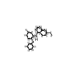 CCc1ccc2c(Nc3cc(C)ccc3Sc3ccccc3)ncnc2n1